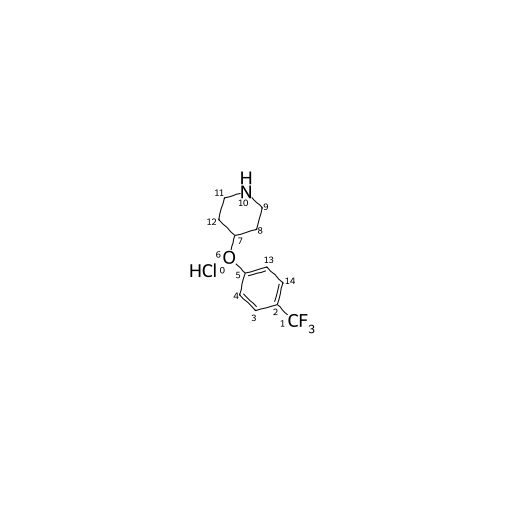 Cl.FC(F)(F)c1ccc(OC2CCNCC2)cc1